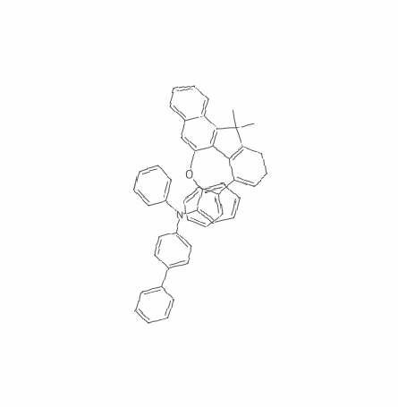 CC1(C)C2=C(C(c3ccccc3)=CCC2)c2c(Oc3ccccc3N(c3ccccc3)c3ccc(-c4ccccc4)cc3)cc3ccccc3c21